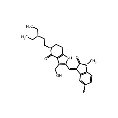 CCN(CC)CCN1CCc2[nH]c(/C=C3\C(=O)N(C)c4ccc(F)cc43)c(CO)c2C1=O